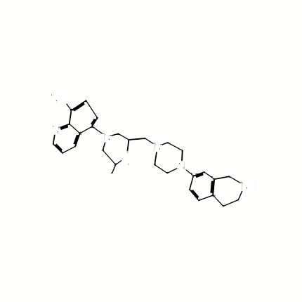 CC1CN(c2ccc(C#N)c3ncccc23)CC(CN2CCN(c3ccc4c(c3)CNCC4)CC2)O1